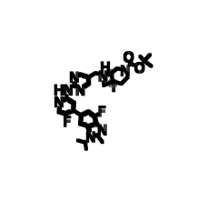 Cc1nc2c(F)cc(-c3cc(Nc4ncc(CN5C[C@@]6(C)CCN(C(=O)OC(C)(C)C)C[C@@H]56)cn4)ncc3F)cc2n1C(C)C